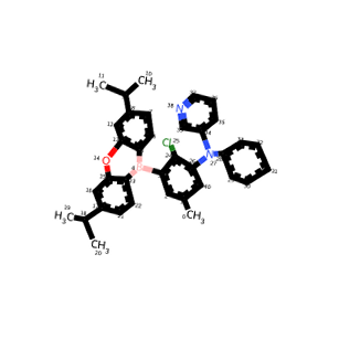 Cc1cc(B2c3ccc(C(C)C)cc3Oc3cc(C(C)C)ccc32)c(Cl)c(N(c2ccccc2)c2cccnc2)c1